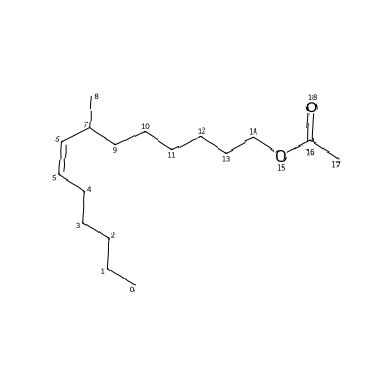 CCCCC/C=C\C(C)CCCCCCOC(C)=O